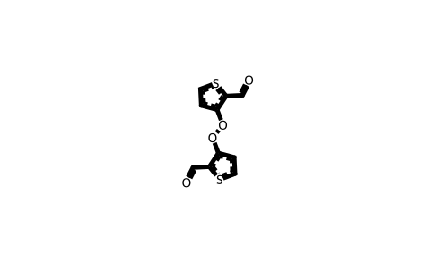 O=Cc1sccc1OOc1ccsc1C=O